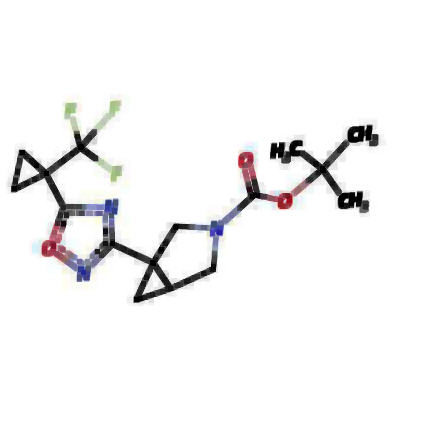 CC(C)(C)OC(=O)N1CC2CC2(c2noc(C3(C(F)(F)F)CC3)n2)C1